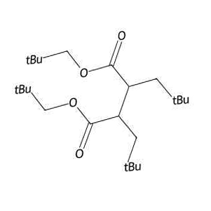 CC(C)(C)COC(=O)C(CC(C)(C)C)C(CC(C)(C)C)C(=O)OCC(C)(C)C